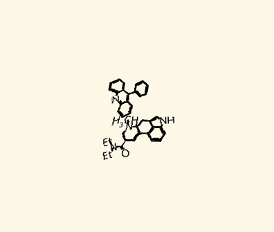 CCN(CC)C(=O)[C@@H]1C=C2c3cccc4[nH]cc(c34)C[C@H]2N(C)C1.c1ccc(-c2c3ccccc3nc3ccccc23)cc1